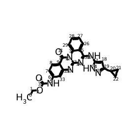 CCOC(=O)Nc1ccc2c(=O)n3c(nc(Nc4cc(C5CC5)n[nH]4)c4ccccc43)nc2c1